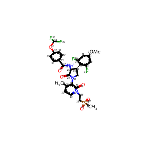 COc1cc(F)c([C@@H]2CN(c3c(C)ccn(CCS(C)(=O)=O)c3=O)C(=O)[C@H]2NC(=O)c2ccc(OC(F)F)cc2)c(F)c1